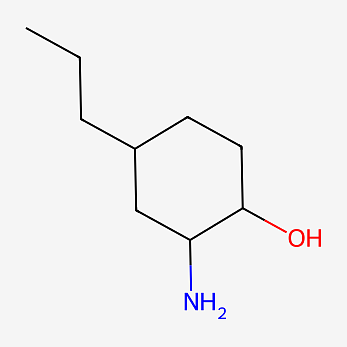 CCCC1CCC(O)C(N)C1